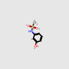 O=S(=O)(Nc1cccc(O)c1)C(F)(F)F